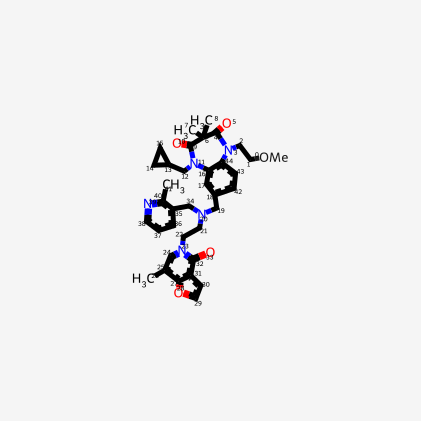 COCCN1C(=O)C(C)(C)C(=O)N(CC2CC2)c2cc(CN(CCn3cc(C)c4occc4c3=O)Cc3cccnc3C)ccc21